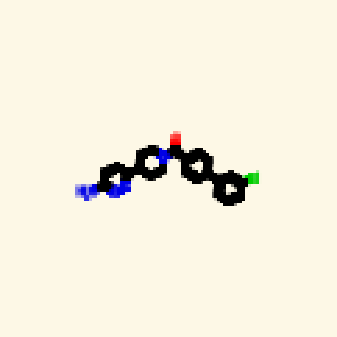 Nc1ccc(C2CCN(C(=O)c3ccc(-c4cccc(Cl)c4)cc3)CC2)nn1